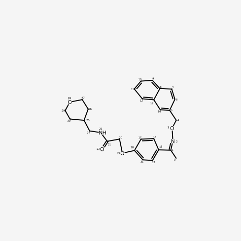 C/C(=N/OCc1ccc2ccccc2c1)c1ccc(OCC(=O)NCC2CCOCC2)cc1